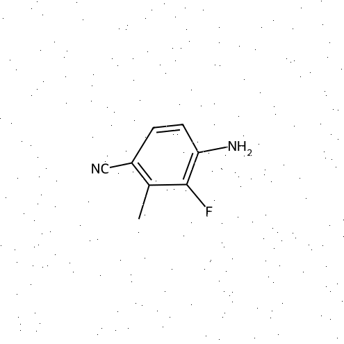 Cc1c(C#N)ccc(N)c1F